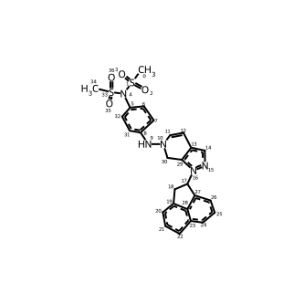 CS(=O)(=O)N(c1ccc(NN2C=Cc3cnn(C4Cc5cccc6cccc4c56)c3C2)cc1)S(C)(=O)=O